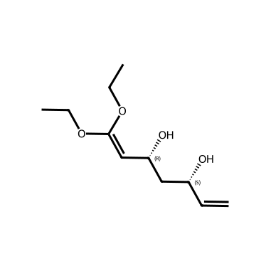 C=C[C@@H](O)C[C@@H](O)C=C(OCC)OCC